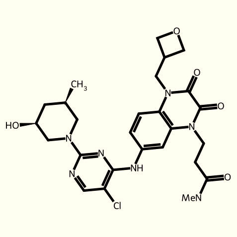 CNC(=O)CCn1c(=O)c(=O)n(CC2COC2)c2ccc(Nc3nc(N4C[C@H](C)C[C@H](O)C4)ncc3Cl)cc21